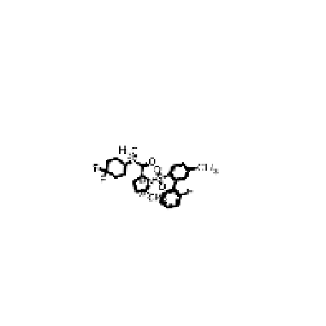 Cc1ccc(S(=O)(=O)N2[C@H](C)CC[C@H]2C(=O)N(C)C2CCC(F)(F)CC2)c(-c2ccccc2F)c1